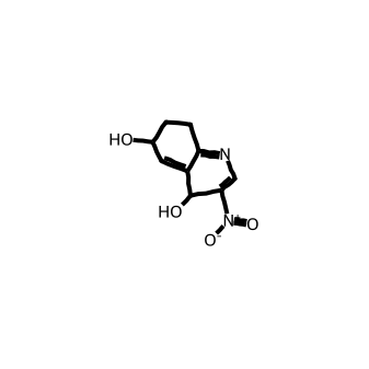 O=[N+]([O-])C1=CN=C2CCC(O)C=C2C1O